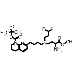 COC(=O)[C@@H](N)CCN(CCCCc1ccc2c(n1)N(C(=O)OC(C)(C)C)CCC2)CCC(F)F